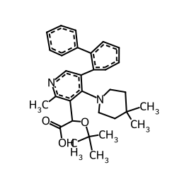 Cc1ncc(-c2ccccc2-c2ccccc2)c(N2CCC(C)(C)CC2)c1C(OC(C)(C)C)C(=O)O